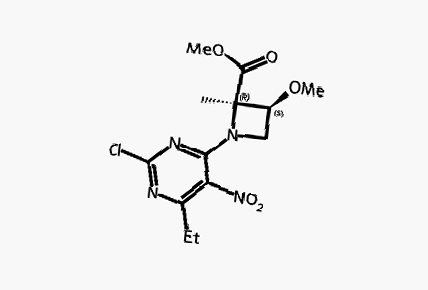 CCc1nc(Cl)nc(N2C[C@H](OC)[C@]2(C)C(=O)OC)c1[N+](=O)[O-]